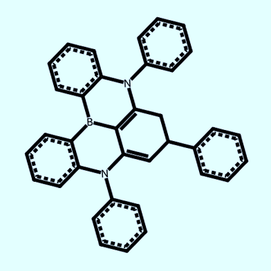 C1=C2C3=C(CC1c1ccccc1)N(c1ccccc1)c1ccccc1B3c1ccccc1N2c1ccccc1